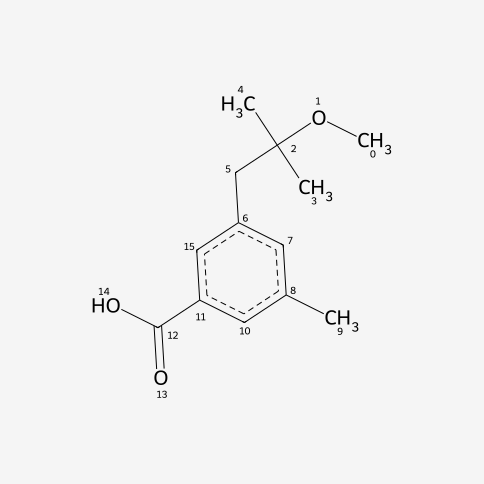 COC(C)(C)Cc1cc(C)cc(C(=O)O)c1